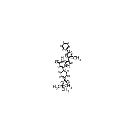 Cc1sc(-c2ccccc2)nc1-c1cnn2c(C3CCN(C(=O)OC(C)(C)C)CC3)cc(=O)[nH]c12